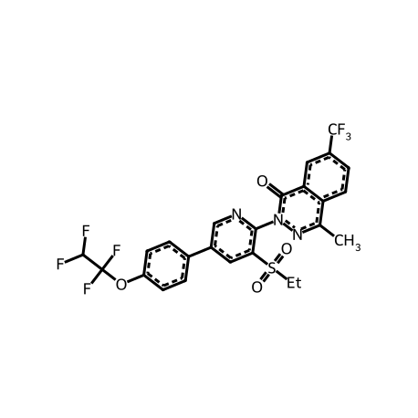 CCS(=O)(=O)c1cc(-c2ccc(OC(F)(F)C(F)F)cc2)cnc1-n1nc(C)c2ccc(C(F)(F)F)cc2c1=O